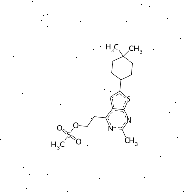 Cc1nc(CCOS(C)(=O)=O)c2cc(C3CCC(C)(C)CC3)sc2n1